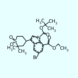 CCOC(=O)c1cc(Br)cc2c(C3CCS(=O)(=O)C(C)(C)C3)cn(C(=O)OC(C)(C)C)c12